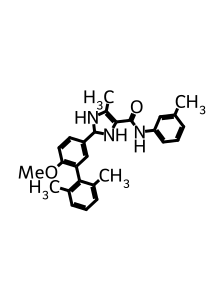 COc1ccc(C2NC(C)=C(C(=O)Nc3cccc(C)c3)N2)cc1-c1c(C)cccc1C